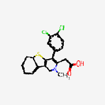 CN1CC2=C(SC3CCCC=C23)C(c2ccc(Cl)c(Cl)c2)=C1CC(=O)O